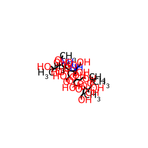 CC(=O)NC(C(O)[C@@H](O)C(C)CO)[C@@H](O)O[C@@H]1C[C@](OC2[C@@H](O)C(CO)O[C@@H](O[C@H](C(C)CO)C(O)C(O)[C@@H](O)OC(C)C)[C@H]2O)(C(=O)O)OC2[C@]1(NC(C)=O)[C@@]2(O)[C@H](O)CO